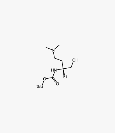 CC[C@](CO)(CCN(C)C)NC(=O)OC(C)(C)C